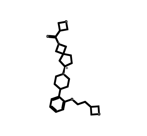 O=C(C1COC1)N1CC2(CC[C@@H](N3CCC(c4ccccc4OCCC4COC4)CC3)C2)C1